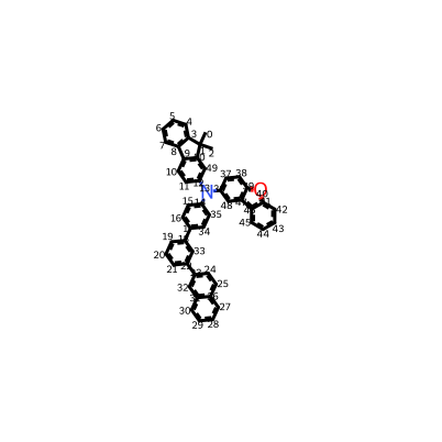 CC1(C)c2ccccc2-c2ccc(N(c3ccc(-c4cccc(-c5ccc6ccccc6c5)c4)cc3)c3ccc4oc5ccccc5c4c3)cc21